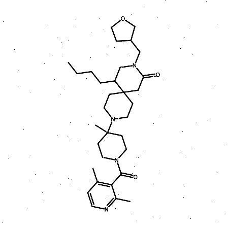 CCCCC1CN(CC2CCOC2)C(=O)CC12CCN(C1(C)CCN(C(=O)c3c(C)ccnc3C)CC1)CC2